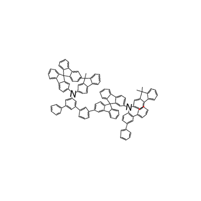 CC1(C)c2ccccc2-c2ccc(N(c3cc(-c4ccccc4)cc(-c4cccc(-c5ccc6c(c5)-c5ccccc5C65c6ccccc6-c6ccc(N(c7ccc8c(c7)C(C)(C)c7ccccc7-8)c7ccc(-c8ccccc8)cc7-c7ccccc7)cc65)c4)c3)c3ccc4c(c3)C3(c5ccccc5-c5ccccc53)c3ccccc3-4)cc21